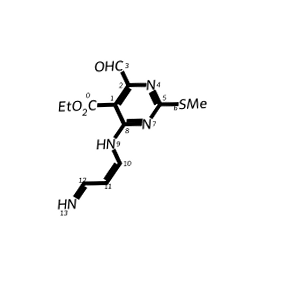 CCOC(=O)c1c(C=O)nc(SC)nc1N/C=C\C=N